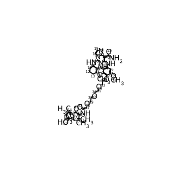 COc1cc(Nc2nc(N[C@H]3CCCC[C@H]3N)n3ccnc3c2C(N)=O)cc(OC)c1OCCOCCOCCOCC(=O)N[C@H](C(=O)N1C[C@H](O)C[C@H]1C)C(C)(C)C